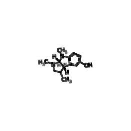 CC1CN(C)[C@H]2[C@@H]1c1cc(O)ccc1N2C